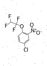 O=[N+]([O-])c1cc(Cl)ccc1OC(F)(F)C(F)F